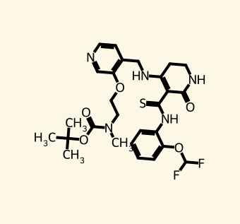 CN(CCOc1cnccc1CNC1=C(C(=S)Nc2ccccc2OC(F)F)C(=O)NCC1)C(=O)OC(C)(C)C